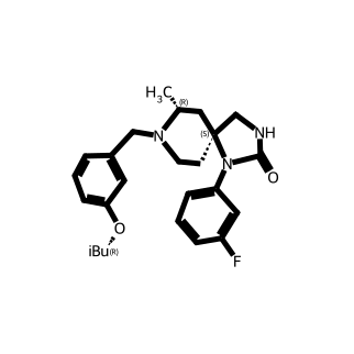 CC[C@@H](C)Oc1cccc(CN2CC[C@@]3(CNC(=O)N3c3cccc(F)c3)C[C@H]2C)c1